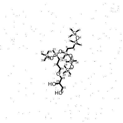 C[Si](C)(C)O[Si](C)(C)CC[Si](C)(O[Si](C)(C)O[Si](C)(C)C)O[Si](C)(CCCOCC(O)CO)O[Si](C)(C)C